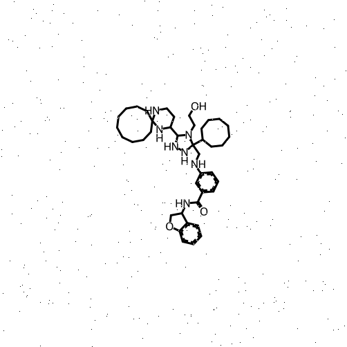 O=C(NC1COc2ccccc21)c1cccc(NCC2(C3CCCCCCC3)NNC(C3CCNC4(CCCCCCCCC4)N3)N2CCO)c1